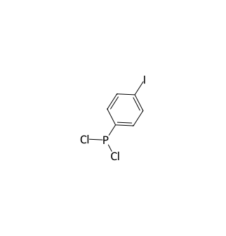 ClP(Cl)c1ccc(I)cc1